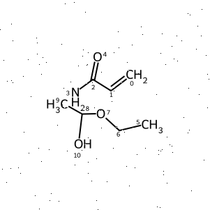 C=CC(N)=O.CCOC(C)O